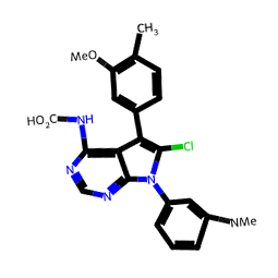 CNc1cccc(-n2c(Cl)c(-c3ccc(C)c(OC)c3)c3c(NC(=O)O)ncnc32)c1